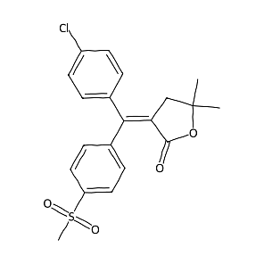 CC1(C)CC(=C(c2ccc(Cl)cc2)c2ccc(S(C)(=O)=O)cc2)C(=O)O1